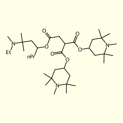 CCCC(CC(C)(C)N(C)CC)OC(=O)CC(C(=O)OC1CC(C)(C)N(C)C(C)(C)C1)C(=O)OC1CC(C)(C)N(C)C(C)(C)C1